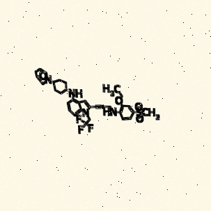 CCOc1cc(S(C)(=O)=O)ccc1NCC#Cc1cc2c(N[C@H]3CC[C@@H](N4CC5CC(C4)O5)CC3)cccc2n1CC(F)(F)F